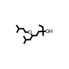 CCC(C)(O)CCC(CC(C)C)OCCC(C)C